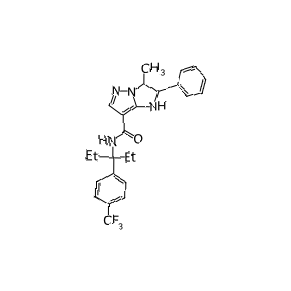 CCC(CC)(NC(=O)c1cnn2c1NC(c1ccccc1)C2C)c1ccc(C(F)(F)F)cc1